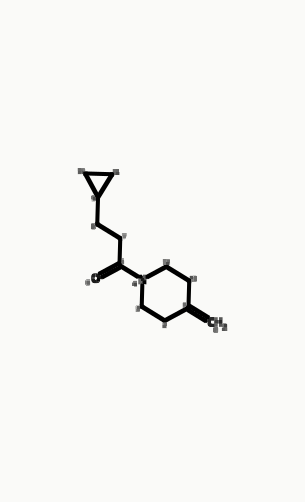 C=C1CCN(C(=O)CCC2CC2)CC1